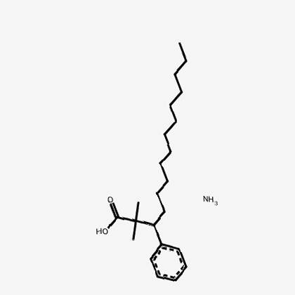 CCCCCCCCCCCCC(c1ccccc1)C(C)(C)C(=O)O.N